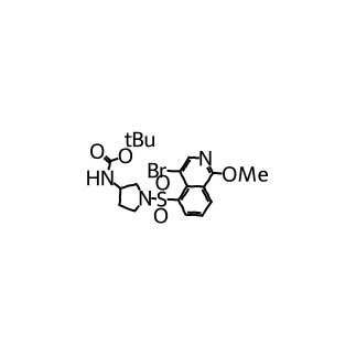 COc1ncc(Br)c2c(S(=O)(=O)N3CCC(NC(=O)OC(C)(C)C)C3)cccc12